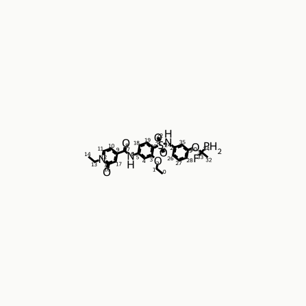 CCOc1cc(NC(=O)c2ccn(CC)c(=O)c2)ccc1S(=O)(=O)Nc1cccc(OC(C)(F)P)c1